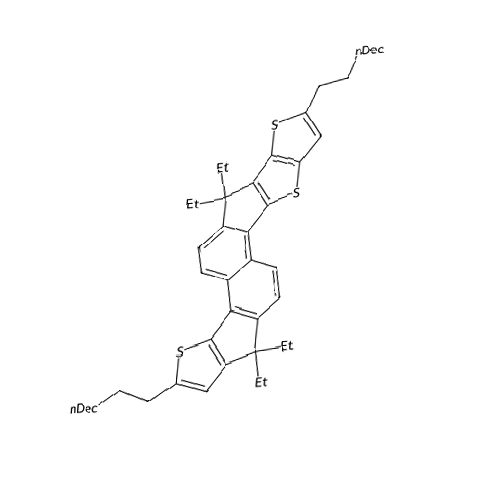 CCCCCCCCCCCCc1cc2c(s1)-c1c(ccc3c4c(ccc13)C(CC)(CC)c1c-4sc3cc(CCCCCCCCCCCC)sc13)C2(CC)CC